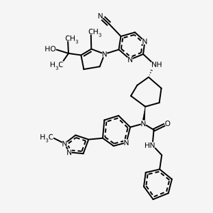 CC1=C(C(C)(C)O)CCN1c1nc(N[C@H]2CC[C@H](N(C(=O)NCc3ccccc3)c3ccc(-c4cnn(C)c4)cn3)CC2)ncc1C#N